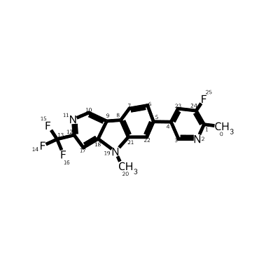 Cc1ncc(-c2ccc3c4cnc(C(F)(F)F)cc4n(C)c3c2)cc1F